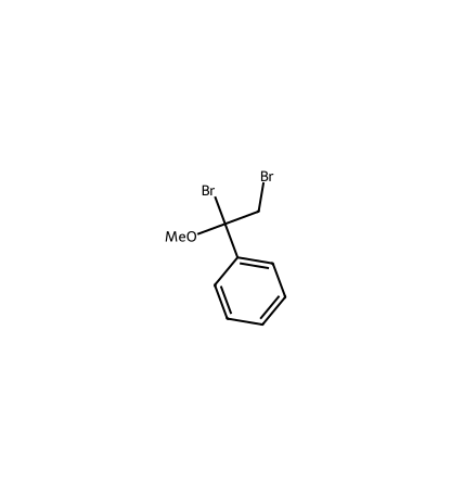 COC(Br)(CBr)c1ccccc1